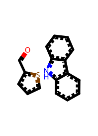 O=Cc1cccs1.c1ccc2c(c1)[nH]c1ccccc12